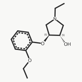 CCOc1ccccc1O[C@H]1CN(CC)C[C@@H]1O